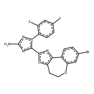 Nc1nc(-c2nc3c(s2)CCOc2cc(Br)ccc2-3)n(-c2ccc(F)cc2F)n1